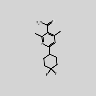 Cc1cc(C2CCC(F)(F)CC2)nc(C)c1C(N)=O